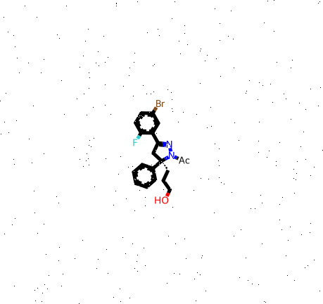 CC(=O)N1N=C(c2cc(Br)ccc2F)C[C@]1(CCCO)c1ccccc1